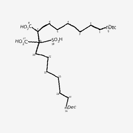 CCCCCCCCCCCCCCCCC(C(=O)O)C(CCCCCCCCCCCCCCCC)(C(=O)O)S(=O)(=O)O